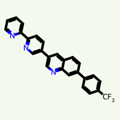 FC(F)(F)c1ccc(-c2ccc3cc(-c4ccc(-c5ccccn5)nc4)cnc3c2)cc1